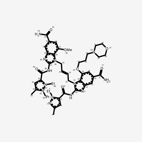 CCn1nc(C)cc1C(=O)Nc1nc2cc(C(N)=O)cc(OCCCN3CCOCC3)c2n1C/C=C/Cn1c(NC(=O)c2cc(C)[n+](C(C)C)n2CC)nc2cc(C(N)=O)cc(OC)c21